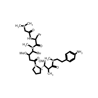 CCC(C)C(C(CC(=O)N1CCC[C@H]1C(OC)C(C)C(=O)N(C)CCc1ccc(N)cc1)OC)N(C)C(=O)C(NC(=O)CN(C)C)C(C)C